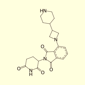 O=C1CCC(N2C(=O)c3cccc(N4CC(C5CCNCC5)C4)c3C2=O)C(=O)N1